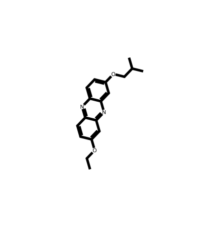 CCOc1ccc2nc3ccc(OCC(C)C)cc3nc2c1